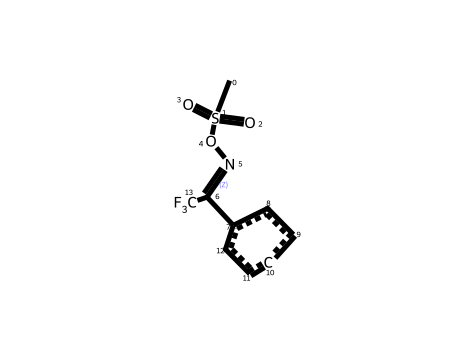 CS(=O)(=O)O/N=C(/c1ccccc1)C(F)(F)F